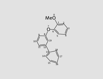 COc1ccccc1Oc1cccc(-c2ccccc2)c1